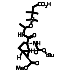 COC(=O)[C@H]1[C@@H]2CC[C@@](NC(=O)OC(C)(C)C)(C(=O)NC(C)O[Si](C)(C)C(C)(C)CC(=O)O)[C@@H]21